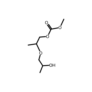 COC(=O)OCC(C)OCC(C)O